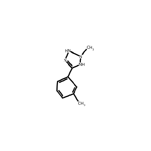 Cc1cccc(C2=NNN(C)N2)c1